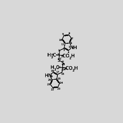 CC(Cc1c[nH]c2ccccc12)(SSC(C)(Cc1c[nH]c2ccccc12)C(=O)O)C(=O)O